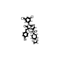 C[C@@]1(Cc2ccc(Br)cc2)C(=O)N(c2cc(Cl)cc(Cl)c2)c2ncc(S(=O)(=O)N3CCC4(CC3)OCCO4)n21